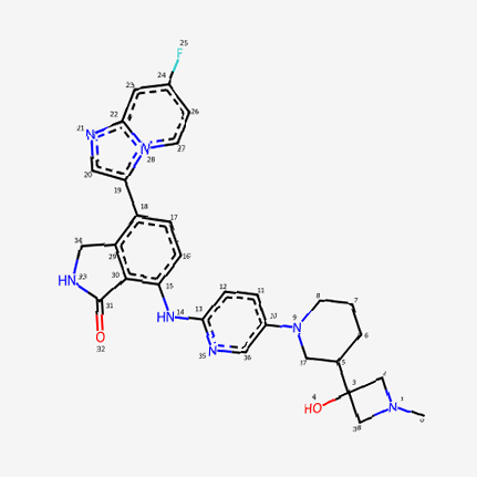 CN1CC(O)(C2CCCN(c3ccc(Nc4ccc(-c5cnc6cc(F)ccn56)c5c4C(=O)NC5)nc3)C2)C1